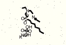 CC#N.CCCCCCCS(=O)(=O)[O-].CCN(CC)CC.O=P([O-])(O)O.[K+].[Na+]